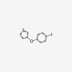 Ic1ccc(Oc2ccsc2)cc1